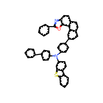 c1ccc(-c2ccc(N(c3ccc(-c4ccc5ccc6ccc7nc(-c8ccccc8)oc7c6c5c4)cc3)c3ccc4c(c3)sc3ccccc34)cc2)cc1